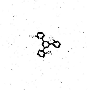 Cc1cccc(-c2cc(-c3ccccc3C(F)(F)F)cc(-c3ccccc3C(F)(F)F)c2)c1